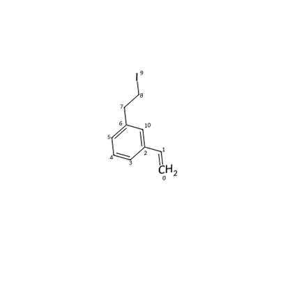 C=Cc1cccc(CCI)c1